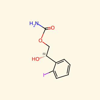 NC(=O)OC[C@@H](O)c1ccccc1I